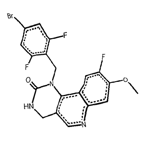 COc1cc2ncc3c(c2cc1F)N(Cc1c(F)cc(Br)cc1F)C(=O)NC3